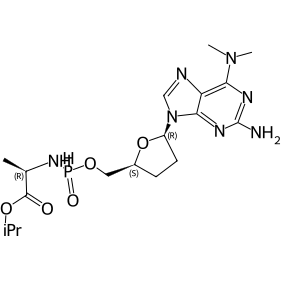 CC(C)OC(=O)[C@@H](C)N[PH](=O)OC[C@@H]1CC[C@H](n2cnc3c(N(C)C)nc(N)nc32)O1